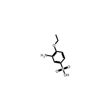 CCOc1ccc(S(=O)(=O)O)cc1N